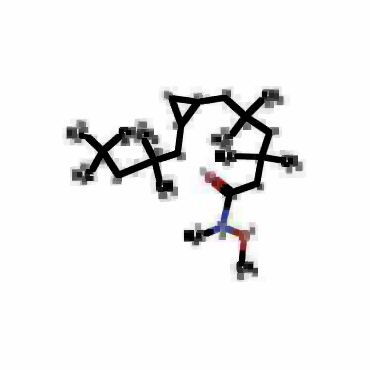 CON(C)C(=O)CC(C)(C)CC(C)(C)CC1CC1CC(C)(C)CC(C)(C)C